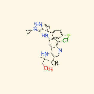 [2H]C(Nc1cc(Cl)c2ncc(C#N)c(NC(C)(C)CO)c2c1)(c1ccc(F)cc1)c1cn(C2CC2)nn1